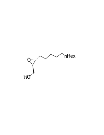 CCCCCCCCCCC[C@H]1O[C@@H]1CO